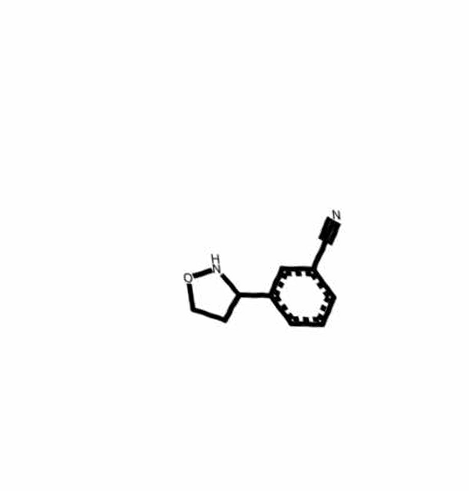 N#Cc1cccc(C2CCON2)c1